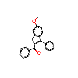 COc1ccc2c(c1)CC(C(=O)c1ccccc1)=C2c1ccccc1